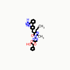 CCCCc1nc(C)n(-c2ncc(OC(C(=O)O)c3ccccc3)cn2)c(=O)c1Cc1ccc(-c2ccccc2-c2nnn[nH]2)cc1